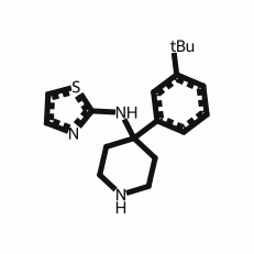 CC(C)(C)c1cccc(C2(Nc3nccs3)CCNCC2)c1